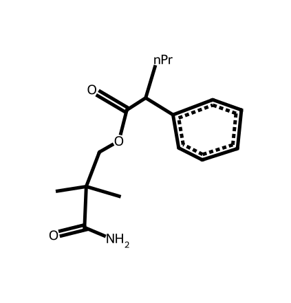 CCCC(C(=O)OCC(C)(C)C(N)=O)c1ccccc1